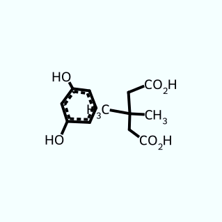 CC(C)(CC(=O)O)CC(=O)O.Oc1cccc(O)c1